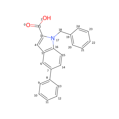 O=C(O)c1cc2cc(-c3ccccc3)ccc2n1Cc1ccccc1